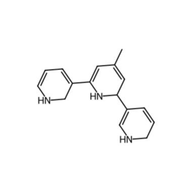 CC1=CC(C2=CNCC=C2)NC(C2=CC=CNC2)=C1